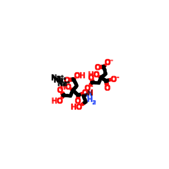 NCCO.O=C(O)CC(O)(CC(=O)O)C(=O)O.O=C([O-])CC(O)(CC(=O)[O-])C(=O)[O-].[Na+].[Na+].[Na+]